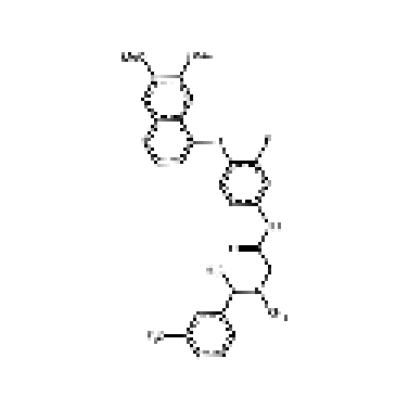 COc1cc2nccc(Oc3ccc(NC(=O)CN(C)C(C)c4cccc(C(F)(F)F)c4)cc3F)c2cc1OC